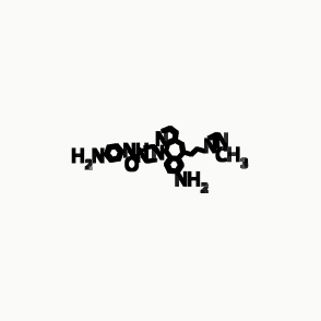 Cc1nccn1CCCC1=Cc2cccnc2C(N2CCN(C(=O)Nc3ccc(N)cc3)CC2)c2ccc(N)cc21